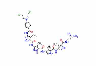 Cc1c(NC(=O)c2[nH]cc(NC(=O)c3[nH]nc(NC(=O)c4[nH]nc(NC(=O)c5ccc(N(CCCl)CCCl)cc5)c4C)c3C)c2C)c[nH]c1C(=O)NCCC(=N)N